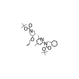 C=CCO[C@H]1CN(C(=O)OC(C)(C)C)C[C@@H]1Cc1cc(C)cc(N(Cc2ccccc2)C(=O)OC(C)(C)C)n1